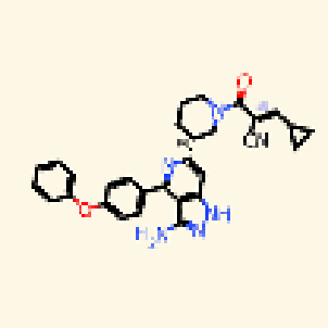 N#C/C(=C\C1CC1)C(=O)N1CCC[C@@H](c2cc3[nH]nc(N)c3c(-c3ccc(Oc4ccccc4)cc3)n2)C1